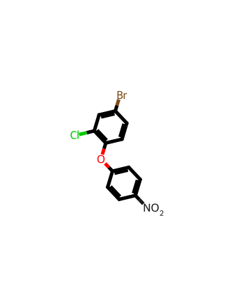 O=[N+]([O-])c1ccc(Oc2ccc(Br)cc2Cl)cc1